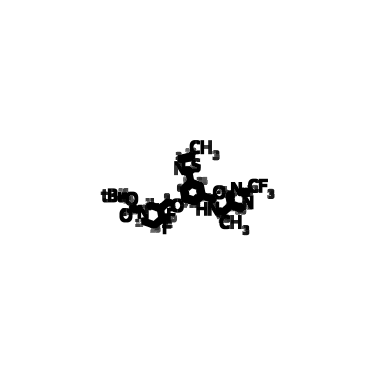 Cc1cnc(-c2cc(OCC3CN(C(=O)OC(C)(C)C)CCC3(F)F)cc(C(=O)N[C@H](C)c3cnc(C(F)(F)F)nc3)c2)s1